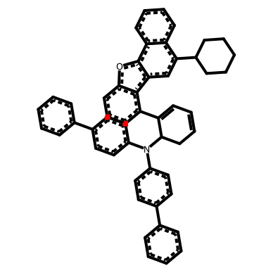 C1=CCC(N(c2ccc(-c3ccccc3)cc2)c2ccc(-c3ccccc3)cc2)C(c2cccc3oc4c5ccccc5c(C5CCCCC5)cc4c23)=C1